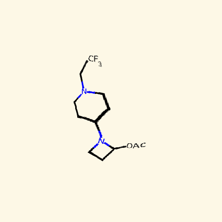 CC(=O)OC1CCN1C1CCN(CC(F)(F)F)CC1